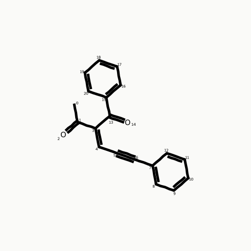 CC(=O)C(=CC#Cc1ccccc1)C(=O)c1ccccc1